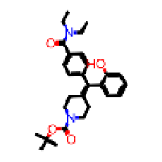 CCN(CC)C(=O)c1ccc(C(=C2CCN(C(=O)OC(C)(C)C)CC2)c2ccccc2O)cc1